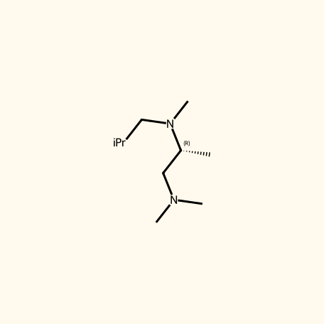 CC(C)CN(C)[C@H](C)CN(C)C